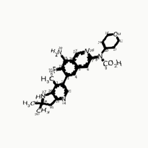 Cc1c(-c2cc3cc(N(C(=O)O)C4CCOCC4)ncc3c(N)c2F)cnc2c1NC(C)(C)C2